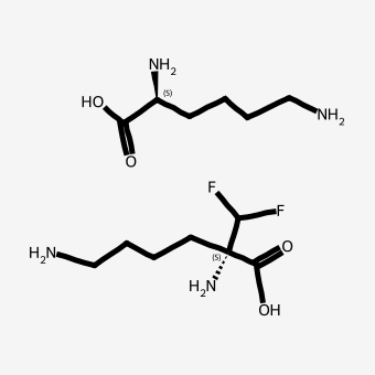 NCCCC[C@H](N)C(=O)O.NCCCC[C@](N)(C(=O)O)C(F)F